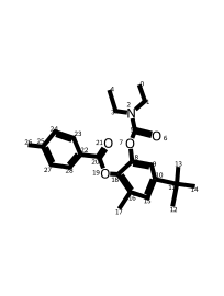 CCN(CC)C(=O)Oc1cc(C(C)(C)C)cc(C)c1OC(=O)c1ccc(C)cc1